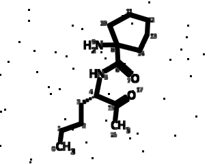 CCCC[C@H](NC(=O)C1(N)CCCCC1)C(C)=O